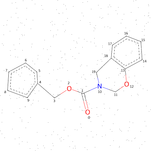 O=C(OCc1ccccc1)N1COc2ccccc2C1